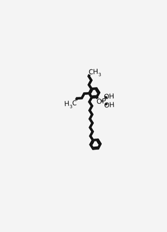 CCCCc1ccc(OP(O)O)c(CCCCCCCCCc2ccccc2)c1CCCC